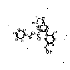 Cc1ccc(CO)cc1-c1nn2c(c1C(=O)OCc1ccccc1)CCC2